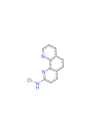 ClNc1ccc2ccc3cccnc3c2n1